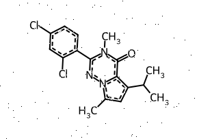 Cc1cc(C(C)C)c2c(=O)n(C)c(-c3ccc(Cl)cc3Cl)nn12